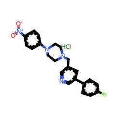 Cl.O=[N+]([O-])c1ccc(N2CCN(Cc3cncc(-c4ccc(F)cc4)c3)CC2)cc1